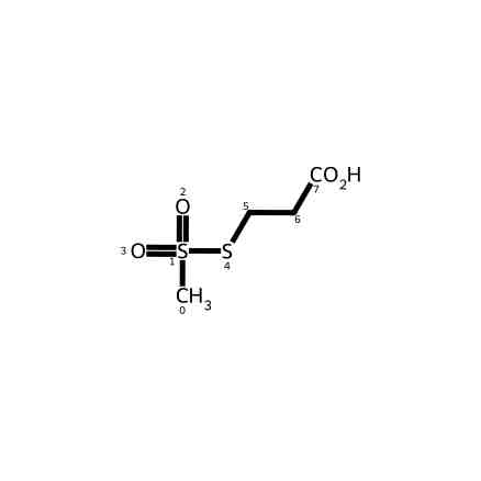 CS(=O)(=O)SCCC(=O)O